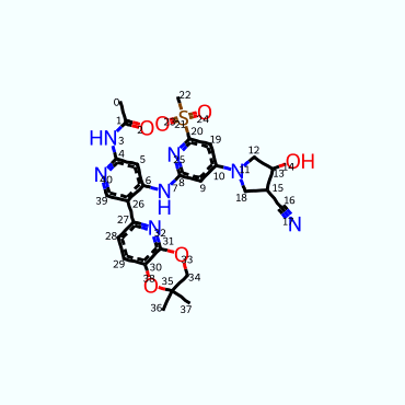 CC(=O)Nc1cc(Nc2cc(N3CC(O)C(C#N)C3)cc(S(C)(=O)=O)n2)c(-c2ccc3c(n2)OCC(C)(C)O3)cn1